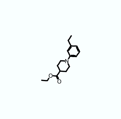 CCOC(=O)C1CCN(c2cccc(CC)c2)CC1